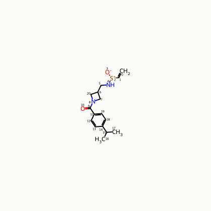 C=C[S+]([O-])NCC1CN(C(=O)c2ccc(C(C)C)cc2)C1